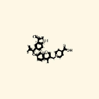 CC1=C(CN2CCC(C(=O)O)CC2)COc2cc(OC(c3ccc4[nH]nc(Cl)c4c3)C(C)C)ccc21